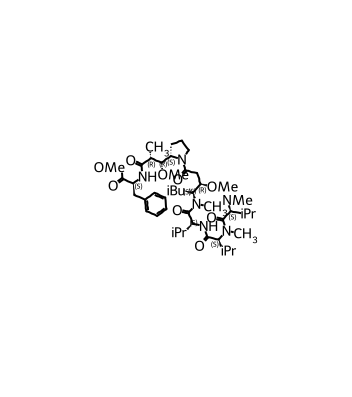 CC[C@H](C)[C@@H]([C@@H](CC(=O)N1CCC[C@H]1[C@H](OC)[C@@H](C)C(=O)N[C@@H](Cc1ccccc1)C(=O)OC)OC)N(C)C(=O)[C@@H](NC(=O)[C@H](C(C)C)N(C)C(=O)[C@@H](NC)C(C)C)C(C)C